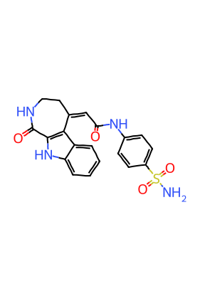 NS(=O)(=O)c1ccc(NC(=O)/C=C2/CCNC(=O)c3[nH]c4ccccc4c32)cc1